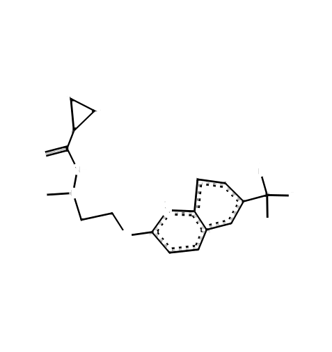 [CH3][Fe]([CH2]COc1ccc2cc(C(F)(F)F)ccc2n1)[NH]C(=O)C1CC1